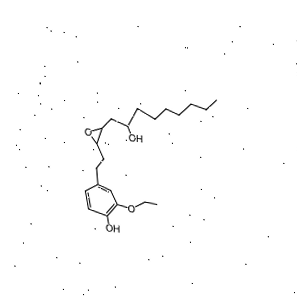 CCCCCCCC(O)CC1OC1CCc1ccc(O)c(OCC)c1